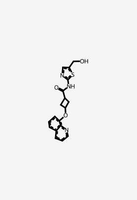 O=C(Nc1ncc(CO)s1)C1CC(Oc2cccc3cccnc23)C1